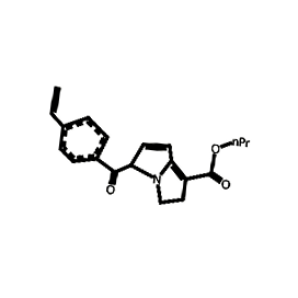 C=Cc1ccc(C(=O)C2C=CC3=C(C(=O)OCCC)CCN32)cc1